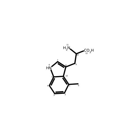 Cc1cccc2[nH]cc(CC(N)C(=O)O)c12